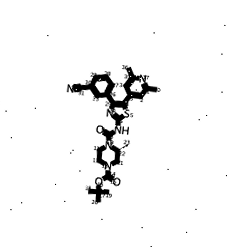 Cc1cc(-c2sc(NC(=O)N3CCN(C(=O)OC(C)(C)C)C[C@H]3C)nc2-c2cccc(C#N)c2)cc(C)n1